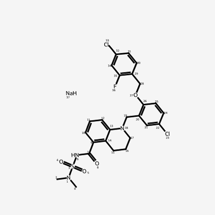 CN(C)S(=O)(=O)NC(=O)c1cccc2c1CCCN2Cc1cc(Cl)ccc1OCc1ccc(Cl)cc1F.[NaH]